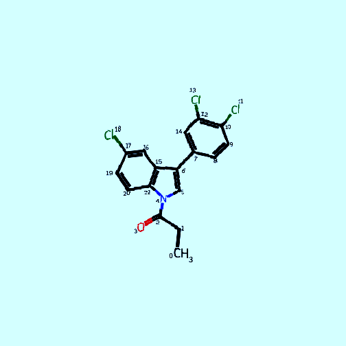 CCC(=O)n1cc(-c2ccc(Cl)c(Cl)c2)c2cc(Cl)ccc21